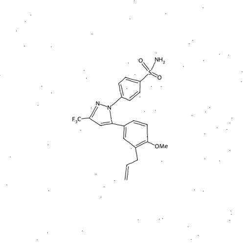 C=CCc1cc(-c2cc(C(F)(F)F)nn2-c2ccc(S(N)(=O)=O)cc2)ccc1OC